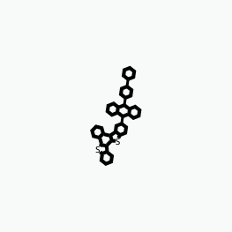 c1ccc(-c2ccc(-c3c4ccccc4c(-c4ccc5sc6c(c5c4)c4ccccc4c4sc5ccccc5c46)c4ccccc34)cc2)cc1